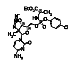 CCOC(=O)[C@H](C)NP(=O)(OC[C@H]1OC(n2ccc(N)nc2=O)[C@](C)(N=[N+]=[N-])[C@@H]1O)Oc1ccc(Cl)cc1